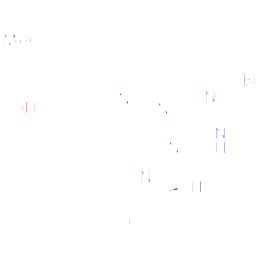 COc1ccc(-c2ccc3c(N4CCOC[C@@H]4C)nc(-c4nc(Br)c[nH]4)nc3n2)cc1CO